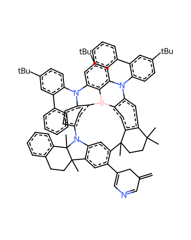 C=C1C=NC=C(c2cc3c4cc2C2(C)CCC(C)(C)c5cc6c(cc52)B2c5cc(ccc5N(c5ccc(C(C)(C)C)cc5-c5ccccc5)c5cc(C(C)(C)C)cc(c52)N6c2ccc(C(C)(C)C)cc2-c2ccccc2)N4C2(C)c4ccccc4CCC32C)C1